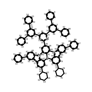 c1ccc(-c2cc(-c3ccccc3)cc(-c3cc(-c4cc(-c5ccccc5)cc(-c5ccccc5)c4)nc(-c4cc5c6c(c4)-n4c7ccc(-c8ccccc8)cc7c7cc(C8CCCCC8)cc(c74)B6c4cc(C6CCCCC6)cc6c7cc(-c8ccccc8)ccc7n-5c46)n3)c2)cc1